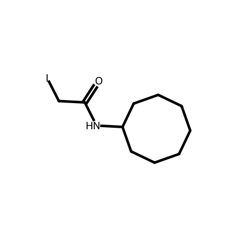 O=C(CI)NC1CCCCCCC1